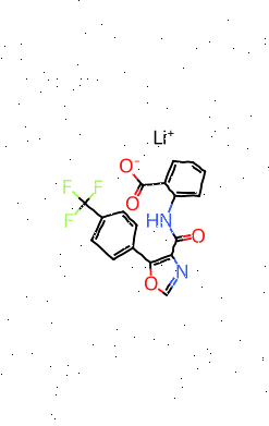 O=C([O-])c1ccccc1NC(=O)c1ncoc1-c1ccc(C(F)(F)F)cc1.[Li+]